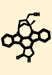 C[C@]12CC(C[C@@H]1CO)n1c3ccccc3c3c4c(c5c6ccccc6n2c5c31)CNC4=O